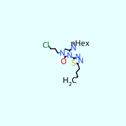 C=CCCc1nnc(N2C(=O)N(CCCCl)CC2=NCCCCCC)s1